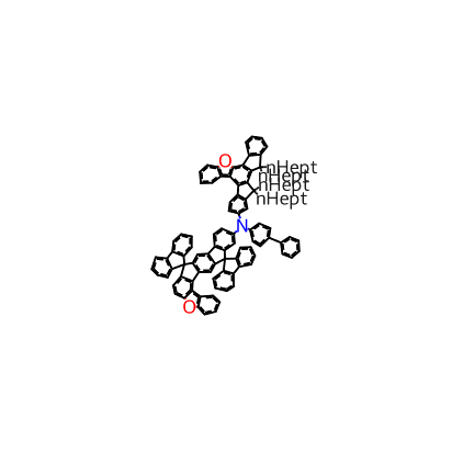 CCCCCCCC1(CCCCCCC)c2ccccc2-c2c1c1c(c3c2oc2ccccc23)-c2ccc(N(c3ccc(-c4ccccc4)cc3)c3ccc4c(c3)C3(c5ccccc5-c5ccccc53)c3cc5c(cc3-4)C3(c4ccccc4-c4ccccc43)c3ccc4oc6ccccc6c4c3-5)cc2C1(CCCCCCC)CCCCCCC